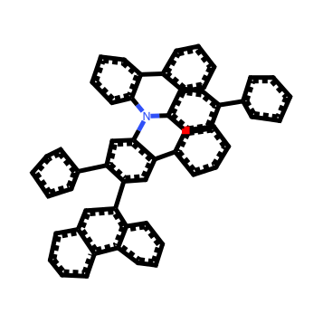 c1ccc(-c2ccc(N(c3ccccc3-c3ccccc3)c3cc(-c4ccccc4)c(-c4cc5ccccc5c5ccccc45)cc3-c3ccccc3)cc2)cc1